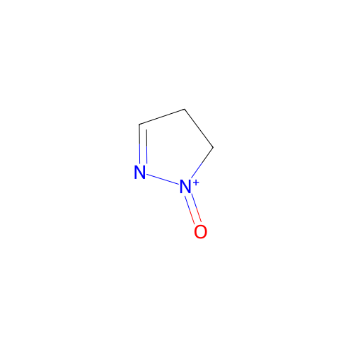 O=[N+]1CCC=N1